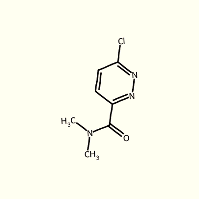 CN(C)C(=O)c1ccc(Cl)nn1